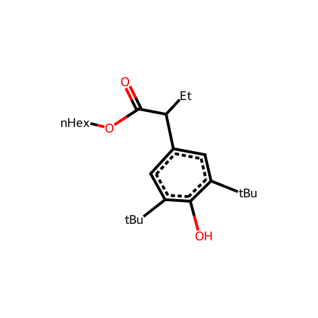 CCCCCCOC(=O)C(CC)c1cc(C(C)(C)C)c(O)c(C(C)(C)C)c1